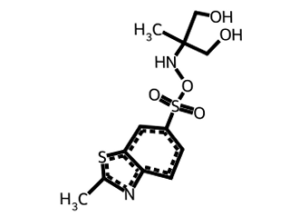 Cc1nc2ccc(S(=O)(=O)ONC(C)(CO)CO)cc2s1